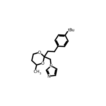 CC1CCOC(CCc2ccc(C(C)(C)C)cc2)(Cn2ccnc2)O1